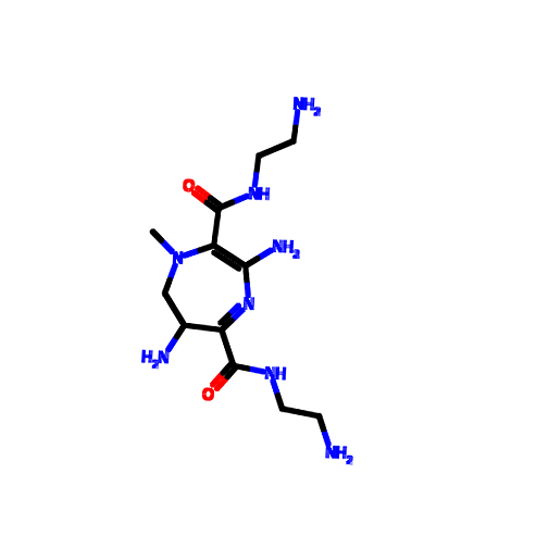 CN1CC(N)C(C(=O)NCCN)=NC(N)=C1C(=O)NCCN